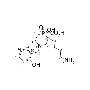 NCCCCC1(C(=O)O)CN(Cc2ccccc2O)CCP1(=O)O